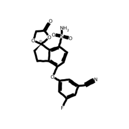 N#Cc1cc(F)cc(Oc2ccc(S(N)(=O)=O)c3c2CC[C@]32OCC(=O)O2)c1